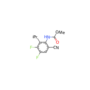 COC(=O)Nc1c(C#N)cc(F)c(F)c1C(C)C